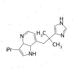 CC(C)C1=CNC2C(CC(C)(C)c3c[nH]cn3)=CC=NC12